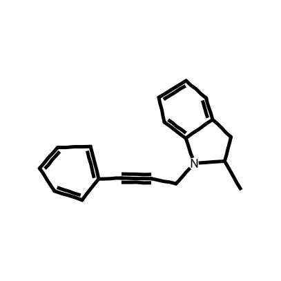 CC1Cc2ccccc2N1CC#Cc1ccccc1